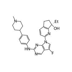 CC[C@@]1(O)CCc2ccc(-n3cc(F)c4cnc(Nc5ccc(C6CCN(C)CC6)cc5)nc43)nc21